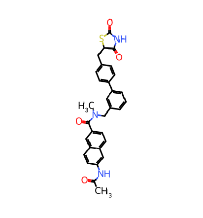 CC(=O)Nc1ccc2cc(C(=O)N(C)Cc3cccc(-c4ccc(CC5SC(=O)NC5=O)cc4)c3)ccc2c1